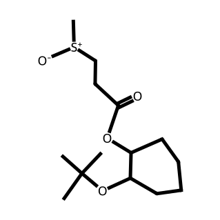 C[S+]([O-])CCC(=O)OC1CCCCC1OC(C)(C)C